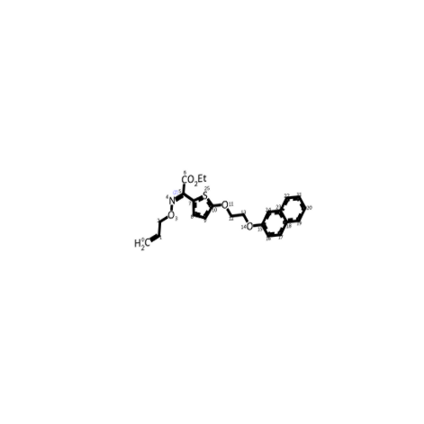 C=CCO/N=C(/C(=O)OCC)c1ccc(OCCOc2ccc3ccccc3c2)s1